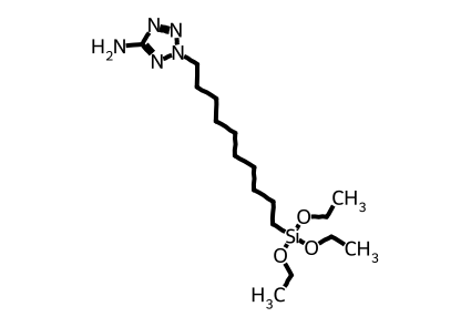 CCO[Si](CCCCCCCCCCn1nnc(N)n1)(OCC)OCC